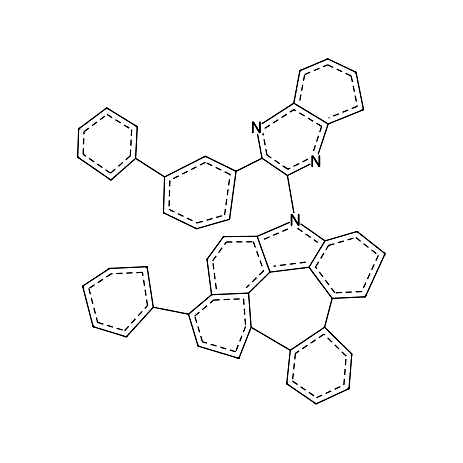 c1ccc(-c2cccc(-c3nc4ccccc4nc3-n3c4cccc5c4c4c6c(ccc(-c7ccccc7)c6ccc43)-c3ccccc3-5)c2)cc1